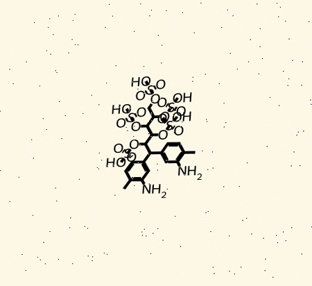 Cc1ccc(C(c2ccc(C)c(N)c2)C(OS(=O)(=O)O)C(OS(=O)(=O)O)C(OS(=O)(=O)O)C(COS(=O)(=O)O)OS(=O)(=O)O)cc1N